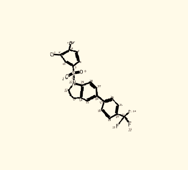 O=S(=O)(c1ccc(Br)c(Cl)c1)N1CCc2cc(-c3ccc(C(F)(F)F)cc3)ccc21